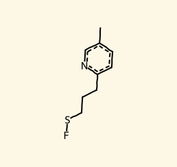 Cc1ccc(CCCSF)nc1